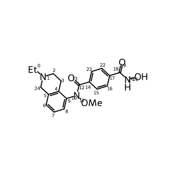 CCN1CCc2c(cccc2N(OC)C(=O)c2ccc(C(=O)NO)cc2)C1